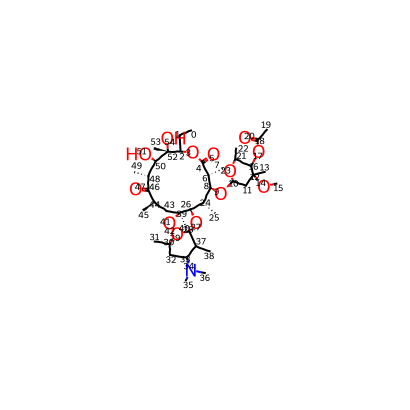 CCC1OC(=O)[C@H](C)[C@@H](OC2CC(C)(OC)C(OC(C)=O)C(C)O2)[C@H](C)[C@@H](OC2OC(C)CC(N(C)C)C2C)[C@@](C)(OC)C[C@@H](C)C(=O)[C@H](C)[C@@H](O)[C@]1(C)O